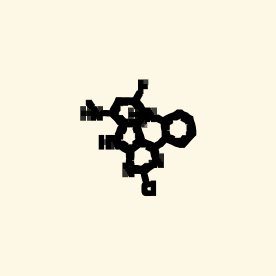 CNc1cc(F)cc2c1[nH]c1nc(Cl)nc(-c3ccccc3N)c12